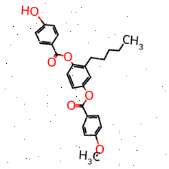 CCCCCc1cc(OC(=O)c2ccc(OC)cc2)ccc1OC(=O)c1ccc(O)cc1